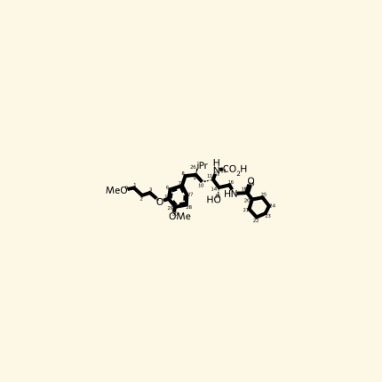 COCCCOc1cc(C[C@@H](C[C@H](NC(=O)O)[C@@H](O)CNC(=O)C2CCCCC2)C(C)C)ccc1OC